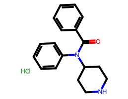 Cl.O=C(c1ccccc1)N(c1ccccc1)C1CCNCC1